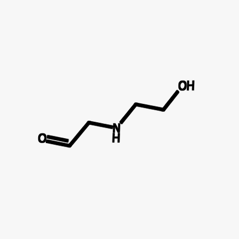 O=CCNCCO